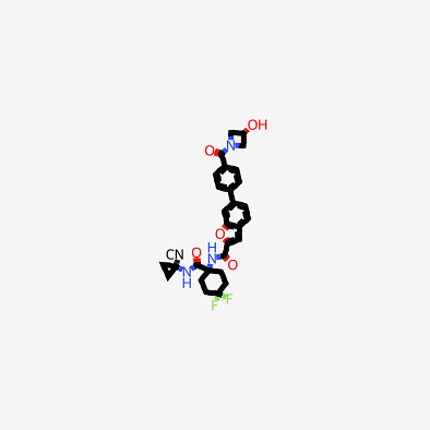 N#CC1(NC(=O)C2(NC(=O)c3cc4ccc(-c5ccc(C(=O)N6CC(O)C6)cc5)cc4o3)CCC(F)(F)CC2)CC1